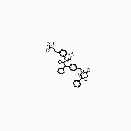 O=C(O)CCc1ccc(Cl)c(NC(=O)C(c2ccc(CN3N=C(c4ccccc4)OCC3=O)cc2)C2CCCC2)c1